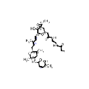 CC(/C=C/[C@H]1O[C@H](CC(=O)NCCNC(=O)CI)C[C@]2(O[C@@H]2C)[C@@H]1O)=C\C[C@@H]1O[C@H](C)[C@H](NC(=O)/C=C\[C@H](C)O)C[C@@H]1C